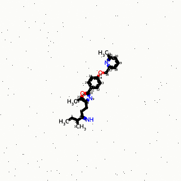 CCC(C)C(=N)CCc1nc(-c2ccc(OCc3cccc(C)n3)cc2)oc1C